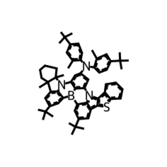 Cc1cc(C(C)(C)C)ccc1N(c1cc2c3c(c1)-n1c4c(cc(C(C)(C)C)cc4c4sc5ccccc5c41)B3c1cc(C(C)(C)C)cc3c1N2C1(C)CCCCC31C)c1ccc(C(C)(C)C)cc1C